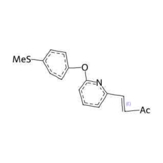 CSc1ccc(Oc2cccc(/C=C/C(C)=O)n2)cc1